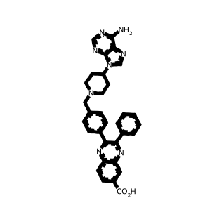 Nc1ncnc2c1ncn2C1CCN(Cc2ccc(-c3nc4ccc(C(=O)O)cc4nc3-c3ccccc3)cc2)CC1